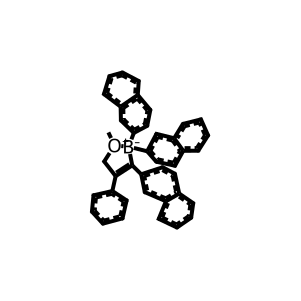 C[O+]1CC(c2ccccc2)=C(c2ccc3ccccc3c2)[B-]1(c1ccc2ccccc2c1)c1ccc2ccccc2c1